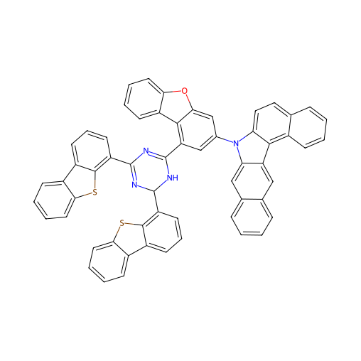 c1ccc2cc3c(cc2c1)c1c2ccccc2ccc1n3-c1cc(C2=NC(c3cccc4c3sc3ccccc34)=NC(c3cccc4c3sc3ccccc34)N2)c2c(c1)oc1ccccc12